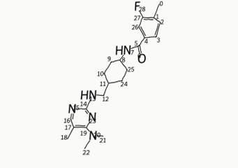 Cc1ccc(C(=O)NC2CCC(CNc3ncc(C)c(N(C)C)n3)CC2)cc1F